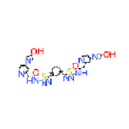 O=C(Cc1cc(N2CC(O)C2)ccn1)Nc1nnc([C@H]2CCC[C@H](c3nnc(NC(=O)Cc4cc(N5CC(O)C5)ccn4)s3)C2)s1